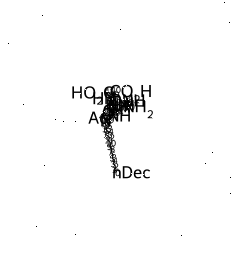 CCCCCCCCCCCCCCCCCCCCCCC=CCCCN(CC(=O)NC(CCCNC(=N)N)C(=O)NCC(=O)NC(CC(=O)O)C(=O)O)C(C)=O